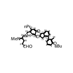 CCCCOc1cccc(-c2cccc3c2CC[C@@H]3Oc2cc(CCC)c(CNCC(CCC=O)NC)cc2Cl)c1C